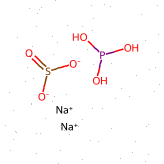 O=S([O-])[O-].OP(O)O.[Na+].[Na+]